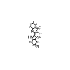 O=c1c2ccccc2nc2n1CCc1c-2[nH]c2ccc(Cl)cc12